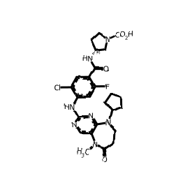 CN1C(=O)CCN(C2CCCC2)c2nc(Nc3cc(F)c(C(=O)N[C@@H]4CCN(C(=O)O)C4)cc3Cl)ncc21